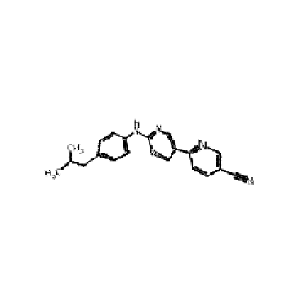 CC(C)Cc1ccc(Nc2ncc(-c3ccc(C#N)cn3)cn2)cc1